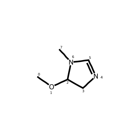 COC1CN=CN1C